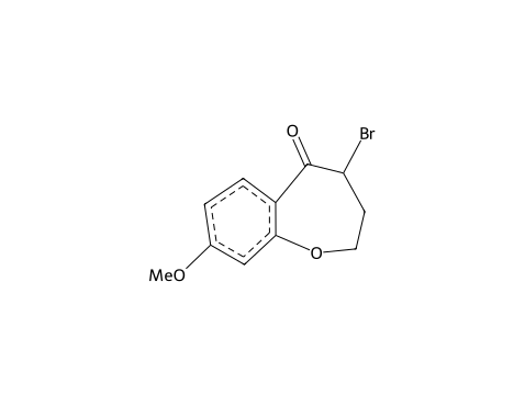 COc1ccc2c(c1)OCCC(Br)C2=O